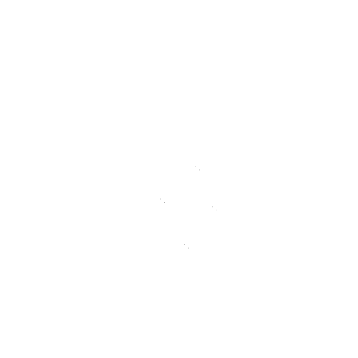 O=c1nc(-n2c3ccccc3c3cc(-c4ccccc4)ccc32)nc(-c2ccccc2)n1-c1ccccc1